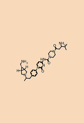 CC(C)C(N)CC(=O)N1CCN(C(=O)Nc2ccn(-c3ccc(CC(C)N4C[C@@H]5[C@@H](CN)[C@@H]5C4)cc3)c(=O)n2)CC1